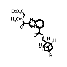 CCOC(=O)CN(C)C(=O)c1cn2c(C(=O)NC[C@@H]3CC[C@H]4C[C@H]3C4(C)C)cccc2n1